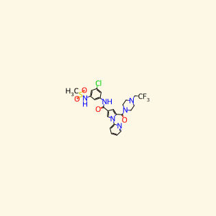 CS(=O)(=O)Nc1cc(Cl)cc(NC(=O)c2cc(C(=O)N3CCN(CC(F)(F)F)CC3)n(-c3ccccn3)c2)c1